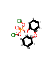 O=P(OCl)(OCl)Oc1ccccc1Oc1ccccc1